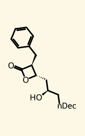 CCCCCCCCCCC[C@@H](O)C[C@@H]1OC(=O)[C@H]1Cc1ccccc1